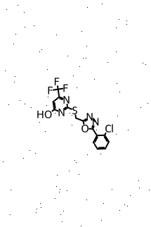 Oc1cc(C(F)(F)F)nc(SCc2nnc(-c3ccccc3Cl)o2)n1